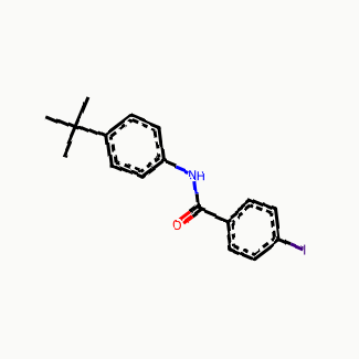 CC(C)(C)c1ccc(NC(=O)c2ccc(I)cc2)cc1